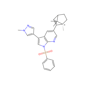 Cn1cc(-c2cn(S(=O)(=O)c3ccccc3)c3ncc(C4=CC5CC[C@]4(C)C5(C)C)cc23)cn1